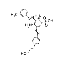 Cc1cccc(/N=N/c2c(N)c(/N=N/c3ccc(CCCO)cc3)cc(S(=O)(=O)O)c2N)c1